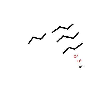 CCCC.CCCC.CCCC.CCCC.[O-2].[O-2].[Ti+4]